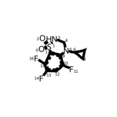 O=S1(=O)NCN(C2CC2)c2c(F)cc(F)c(F)c21